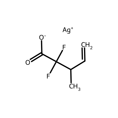 C=CC(C)C(F)(F)C(=O)[O-].[Ag+]